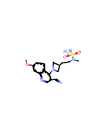 COc1ccc2c(N3CC(CCN(C)S(N)(=O)=O)C3)c(C#N)cnc2c1